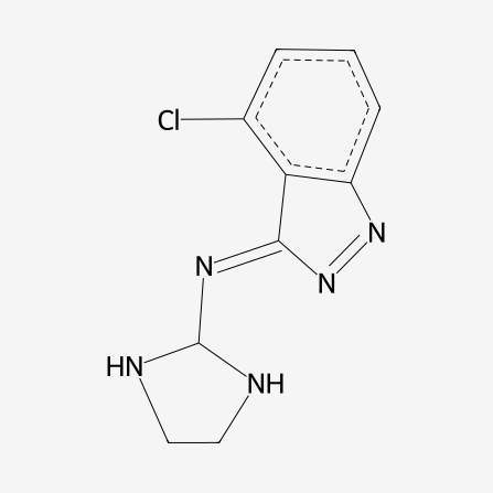 Clc1cccc2c1C(=NC1NCCN1)N=N2